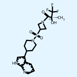 C[C@](O)(C(=O)N1CC(S(=O)(=O)N2CCC(c3c[nH]c4ncccc34)CC2)C1)C(F)(F)F